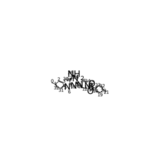 Cc1ccc(N(C)c2nc(N3CCN(S(=O)(=O)c4ccc(C)cc4)CC3)nc(N)c2C)cc1